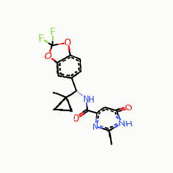 Cc1nc(C(=O)N[C@@H](c2ccc3c(c2)OC(F)(F)O3)C2(C)CC2)cc(=O)[nH]1